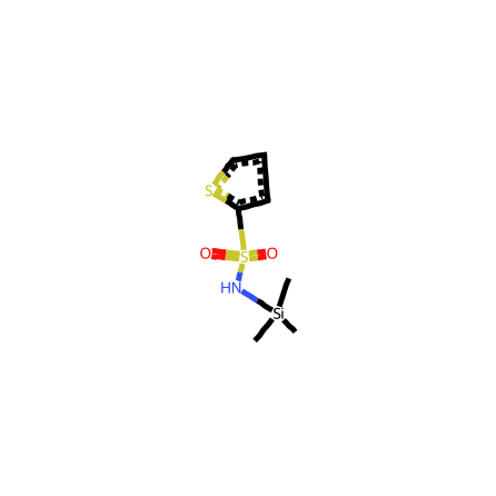 C[Si](C)(C)NS(=O)(=O)c1cccs1